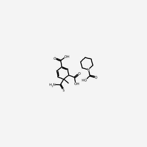 CC1(C(N)=S)C=CC(C(=O)O)=CC1C(=O)O.O=C(O)N1CCCCC1